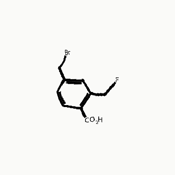 O=C(O)c1ccc(CBr)cc1CF